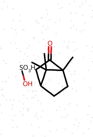 CC12CCC(CC1=O)C2(C)C.O=S(=O)(O)O